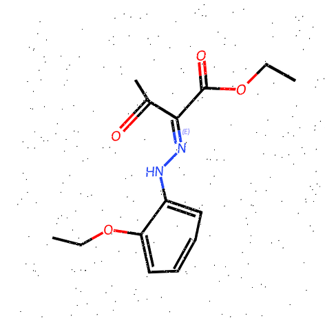 CCOC(=O)/C(=N/Nc1ccccc1OCC)C(C)=O